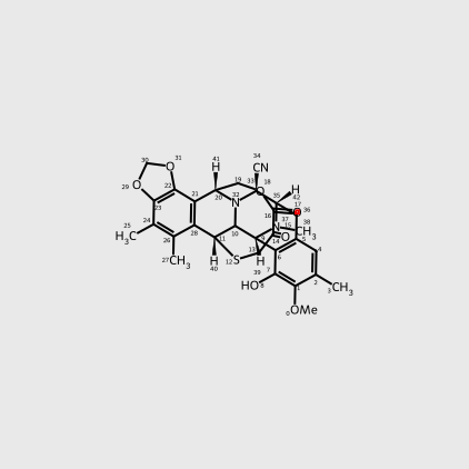 COc1c(C)cc2c(c1O)[C@@H]1C3[C@@H]4SCC(=O)C(=O)OC[C@@H](c5c6c(c(C)c(C)c54)OCO6)N3[C@@H](C#N)[C@H](C2)N1C